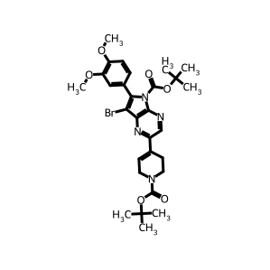 COc1ccc(-c2c(Br)c3nc(C4=CCN(C(=O)OC(C)(C)C)CC4)cnc3n2C(=O)OC(C)(C)C)cc1OC